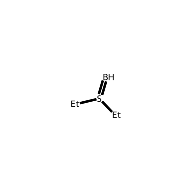 B=S(CC)CC